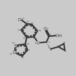 O=C(O)[C@H](CC1CC1)Oc1ccc(Cl)cc1-c1ccon1